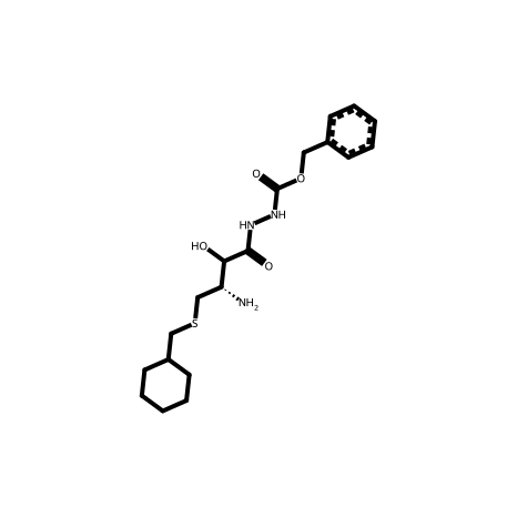 N[C@H](CSCC1CCCCC1)C(O)C(=O)NNC(=O)OCc1ccccc1